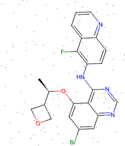 C[C@@H](Oc1cc(Br)cc2ncnc(Nc3ccc4ncccc4c3F)c12)C1COC1